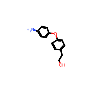 Nc1ccc(Oc2ccc(CCO)cc2)cc1